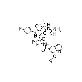 C[C@]1(C(=O)NC(=N)N)COc2c1cc(C(O)(CNC(=O)c1cc(OC3CC3)c3ncccc3c1)C(F)(F)F)nc2-c1ccc(F)cc1